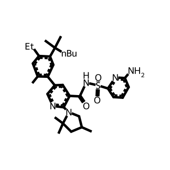 CCCCC(C)(C)c1cc(-c2cnc(N3CC(C)CC3(C)C)c(C(=O)NS(=O)(=O)c3cccc(N)n3)c2)c(C)cc1CC